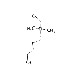 CCCCC[Si](C)(C)CCl